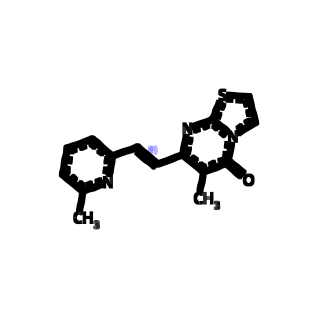 Cc1cccc(/C=C/c2nc3sccn3c(=O)c2C)n1